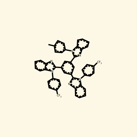 Cc1ccc(-n2c(-c3cc(-c4nc5ccccc5n4-c4ccc(C(F)(F)F)cc4)cc(-c4nc5ccccc5n4-c4ccc(C(F)(F)F)cc4)c3)nc3ccccc32)cc1